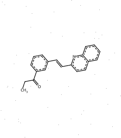 CCC(=O)c1cccc(C=Cc2ccc3ccccc3n2)c1